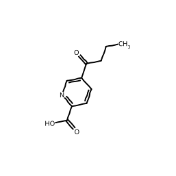 CCCC(=O)c1ccc(C(=O)O)nc1